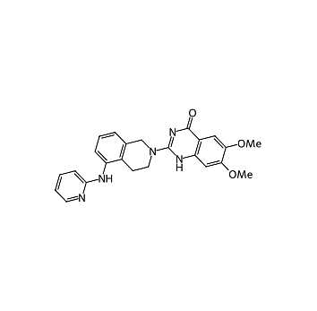 COc1cc2[nH]c(N3CCc4c(cccc4Nc4ccccn4)C3)nc(=O)c2cc1OC